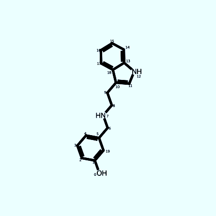 Oc1cccc(CNCCc2c[nH]c3ccccc23)c1